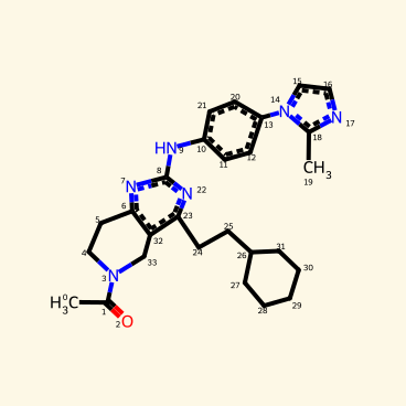 CC(=O)N1CCc2nc(Nc3ccc(-n4ccnc4C)cc3)nc(CCC3CCCCC3)c2C1